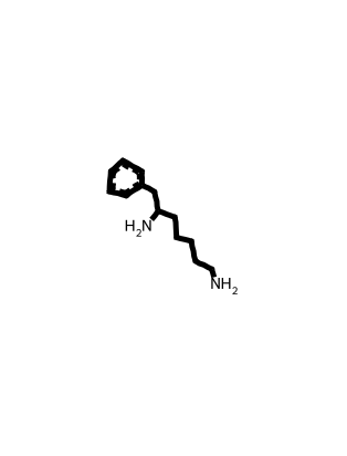 NCCCCCC(N)Cc1ccccc1